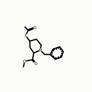 COC(=O)C1CC(SC(C)=O)CCN1Cc1ccccc1